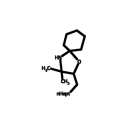 CCCCCCCCC1OC2(CCCCC2)NC1(C)C